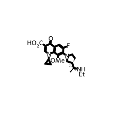 CCN[C@@H](C)[C@H]1CCN(c2c(F)cc3c(=O)c(C(=O)O)cn(C4CC4)c3c2OC)C1